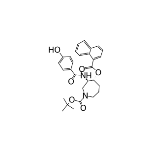 CC(C)(C)OC(=O)N1CCC[C@@H](OC(=O)c2cccc3ccccc23)[C@H](NC(=O)c2ccc(O)cc2)C1